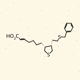 O=C(O)C=CCCCC[C@H]1CSC[C@H]1CCSCc1ccccc1